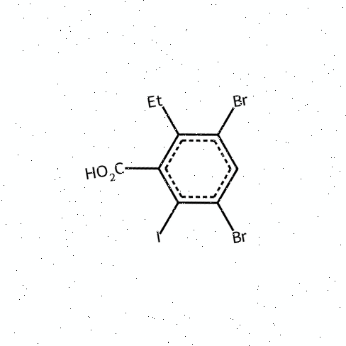 CCc1c(Br)cc(Br)c(I)c1C(=O)O